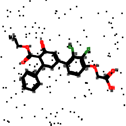 CCOC(=O)C1C(=O)C=C(c2ccc(OCC(=O)O)c(Cl)c2Cl)CC1c1ccccc1